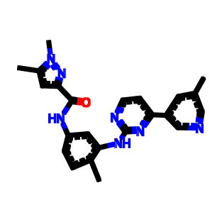 Cc1cncc(-c2ccnc(Nc3cc(NC(=O)c4cc(C)n(C)n4)ccc3C)n2)c1